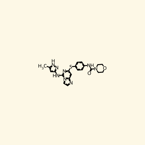 Cc1cc(Nc2nc(Sc3ccc(NC(=O)N4CCOCC4)cc3)cc3nccn23)n[nH]1